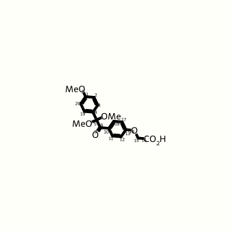 COc1ccc(C(OC)(OC)C(=O)c2ccc(OCC(=O)O)cc2)cc1